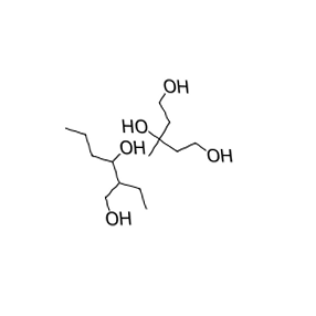 CC(O)(CCO)CCO.CCCC(O)C(CC)CO